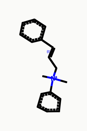 C[N+](C)(C/C=C/c1ccccc1)c1ccccc1